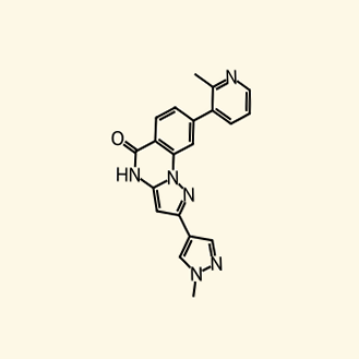 Cc1ncccc1-c1ccc2c(=O)[nH]c3cc(-c4cnn(C)c4)nn3c2c1